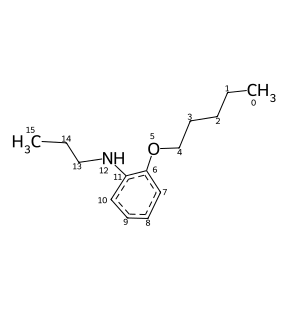 CCCCCOc1ccccc1NCCC